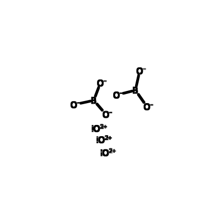 [O+2].[O+2].[O+2].[O-]B([O-])[O-].[O-]B([O-])[O-]